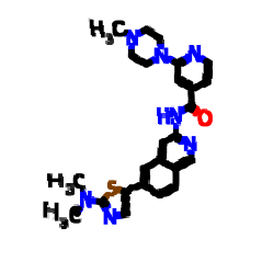 CN1CCN(c2cc(C(=O)Nc3cc4cc(-c5cnc(N(C)C)s5)ccc4cn3)ccn2)CC1